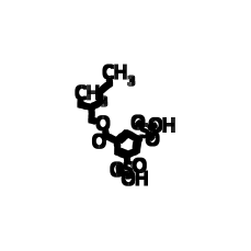 CCCCC(CC)COC(=O)c1cc(S(=O)(=O)O)cc(S(=O)(=O)O)c1